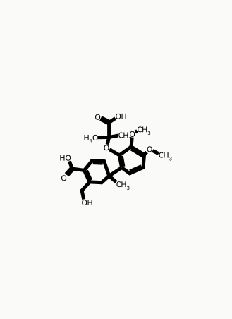 COc1ccc(C2(C)C=CC(C(=O)O)=C(CO)C2)c(OC(C)(C)C(=O)O)c1OC